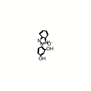 [O-][n+]1c2ccccc2nn1-c1ccc(O)cc1O